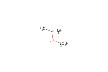 O=S(=O)(O)OCC(F)(F)F.[LiH]